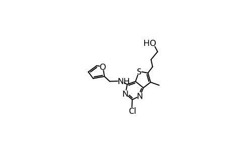 Cc1c(CCCO)sc2c(NCc3ccco3)nc(Cl)nc12